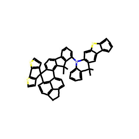 CC1(C)c2ccccc2N(c2cccc3c2C(C)(C)c2c-3ccc3c2-c2ccc4c5c(ccc(c25)C32c3ccsc3-c3sccc32)CC4)c2cc3sc4ccccc4c3cc21